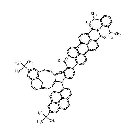 C=C1/C=C\c2cc(C(C)(C)C)cc3c2C/C(=C\C=C/1N(c1ccc(-c2ccc4c5ccc6c7c(ccc(c8cccc2c84)c75)C(=O)N(c2c(C(C)C)cccc2C(C)C)C6=O)c([N+](=O)[O-])c1)c1ccc2ccc4cc(C(C)(C)C)cc5ccc1c2c45)C=C3